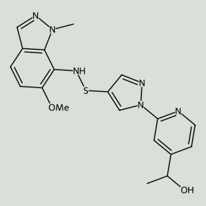 COc1ccc2cnn(C)c2c1NSc1cnn(-c2cc(C(C)O)ccn2)c1